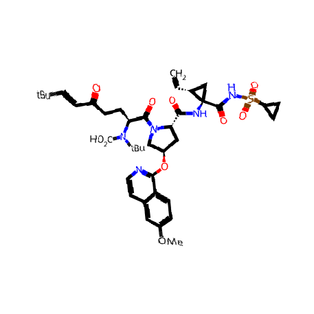 C=C[C@@H]1C[C@]1(NC(=O)[C@@H]1C[C@@H](Oc2nccc3cc(OC)ccc23)CN1C(=O)[C@H](CCC(=O)C=CC(C)(C)C)N(C(=O)O)C(C)(C)C)C(=O)NS(=O)(=O)C1CC1